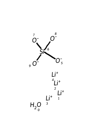 O.[Li+].[Li+].[Li+].[Li+].[O-][Si]([O-])([O-])[O-]